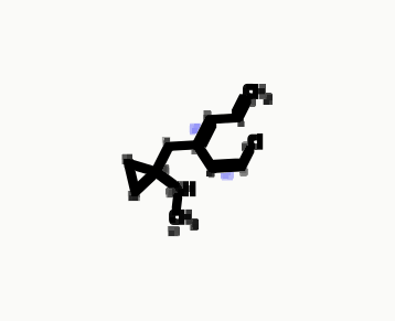 C=C/C=C(\C=C/Cl)CC1(NC)CC1